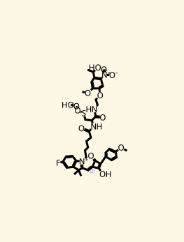 COc1ccc(C2=C(O)/C(=C/C3=[N+](CCCCCC(=O)NC(CSOOO)C(=O)NCCOc4cc([N+](=O)[O-])c(C(C)O)cc4OC)c4ccc(F)cc4C3(C)C)C2=O)cc1